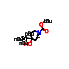 CCC[CH2][Sn]([CH2]CCC)([CH2]CCC)[C]1(O)CCN(C(=O)OC(C)(C)C)CC1